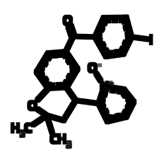 CC1(C)CC(c2cccc[n+]2[O-])c2cc(C(=O)c3ccc(I)cc3)ccc2O1